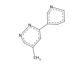 Cc1cnnc(-c2cccnc2)c1